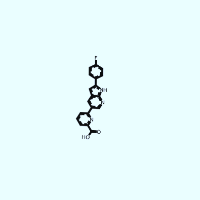 O=C(O)c1cccc(-c2cnc3[nH]c(-c4ccc(F)cc4)cc3c2)n1